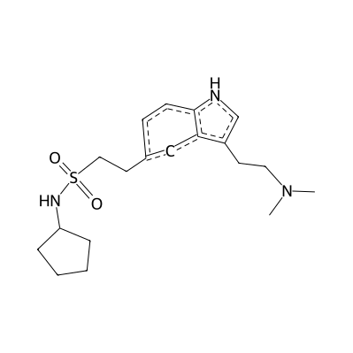 CN(C)CCc1c[nH]c2ccc(CCS(=O)(=O)NC3CCCC3)cc12